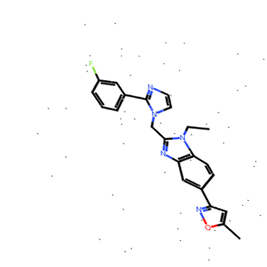 CCn1c(Cn2ccnc2-c2cccc(F)c2)nc2cc(-c3cc(C)on3)ccc21